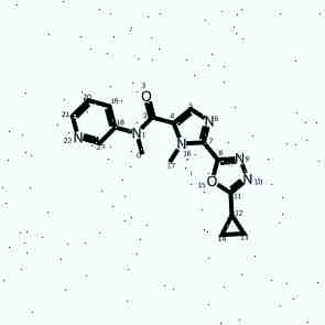 CN(C(=O)c1cnc(-c2nnc(C3CC3)o2)n1C)c1cccnc1